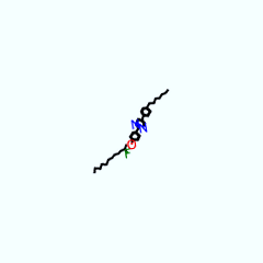 CCCCCCCCCCC(F)COc1ccc(-c2ncc(-c3ccc(CCCCCCC)cc3)cn2)cc1